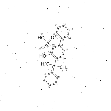 CC(C)(c1ccccc1)c1ccc(-c2ccccc2)c(S(=O)(=O)O)c1O